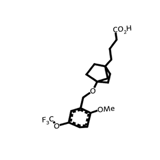 COc1ccc(OC(F)(F)F)cc1COC12CCC(CCCC(=O)O)(CC1)C2